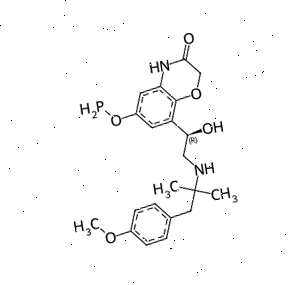 COc1ccc(CC(C)(C)NC[C@H](O)c2cc(OP)cc3c2OCC(=O)N3)cc1